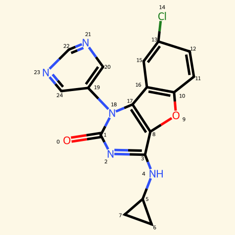 O=c1nc(NC2CC2)c2oc3ccc(Cl)cc3c2n1-c1cncnc1